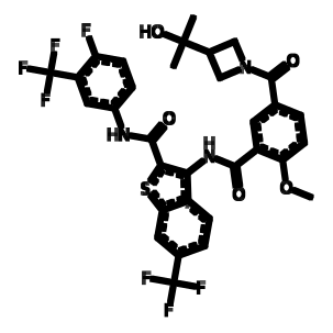 COc1ccc(C(=O)N2CC(C(C)(C)O)C2)cc1C(=O)Nc1c(C(=O)Nc2ccc(F)c(C(F)(F)F)c2)sc2cc(C(F)(F)F)ccc12